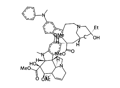 CC[C@]1(O)C[C@H]2CN(CCc3c([nH]c4ccc(N(C)c5ccccc5)cc34)[C@@](C(=O)OC)(c3cc4c(cc3OC)N(C)[C@H]3[C@@](O)(C(=O)OC)[C@H](OC(C)=O)[C@]5(CC)C=CCN6CC[C@]43[C@@H]65)C2)C1